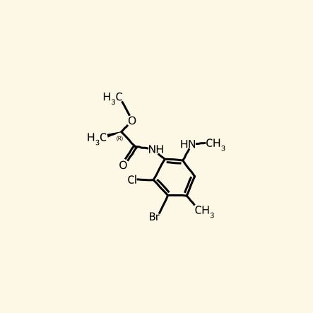 CNc1cc(C)c(Br)c(Cl)c1NC(=O)[C@@H](C)OC